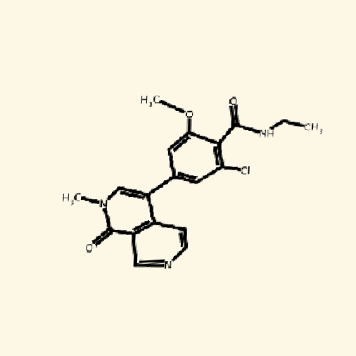 CCNC(=O)c1c(Cl)cc(-c2cn(C)c(=O)c3cnccc23)cc1OC